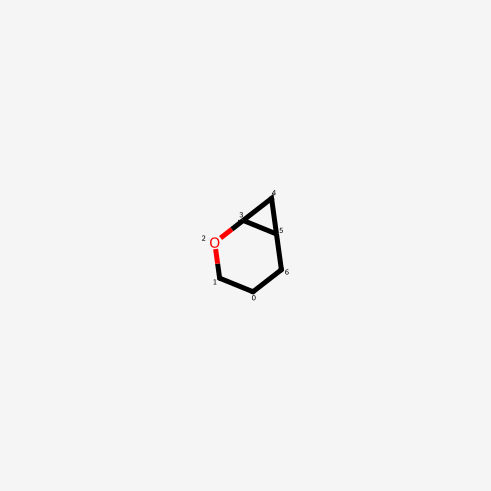 C1CO[C]2CC2C1